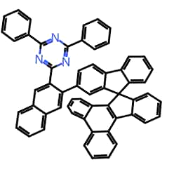 c1ccc(-c2nc(-c3ccccc3)nc(-c3cc4ccccc4cc3-c3ccc4c(c3)C3(c5ccccc5-4)c4ccccc4-c4c3c3ccccc3c3ccccc43)n2)cc1